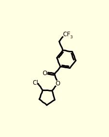 O=C(OC1CCCC1Cl)c1cccc(CC(F)(F)F)c1